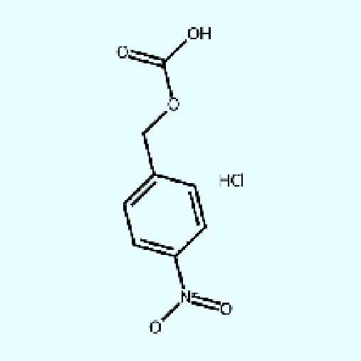 Cl.O=C(O)OCc1ccc([N+](=O)[O-])cc1